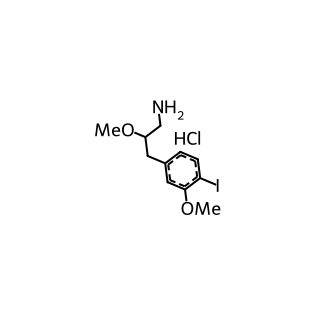 COc1cc(CC(CN)OC)ccc1I.Cl